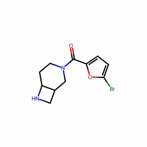 O=C(c1ccc(Br)o1)N1CCC2NCC2C1